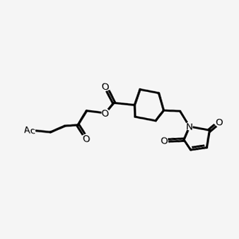 CC(=O)CCC(=O)COC(=O)C1CCC(CN2C(=O)C=CC2=O)CC1